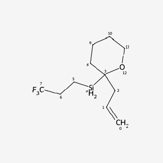 C=CCC1([SiH2]CCC(F)(F)F)CCCCO1